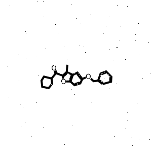 Cc1c(C(=O)C2CCCCC2)oc2ccc(OCc3ccccc3)cc12